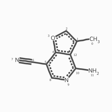 Cc1coc2c(C#N)cnc(N)c12